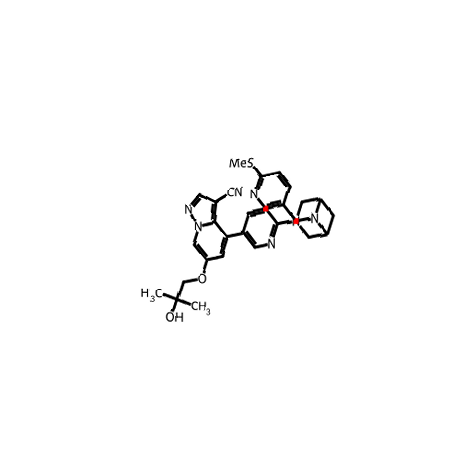 CSc1ccc(CN2C3CC2CN(c2ccc(-c4cc(OCC(C)(C)O)cn5ncc(C#N)c45)cn2)C3)cn1